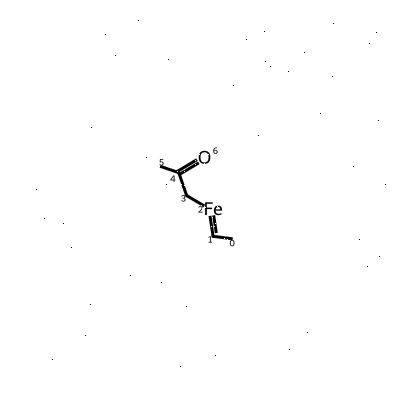 C[CH]=[Fe][CH2]C(C)=O